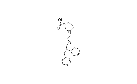 O=C(O)[C@@H]1CCCN(CCOCC(=Cc2ccccc2)c2ccccc2)C1